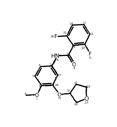 COc1ccc(NC(=O)c2c(F)cccc2F)cc1OC1CCOC1